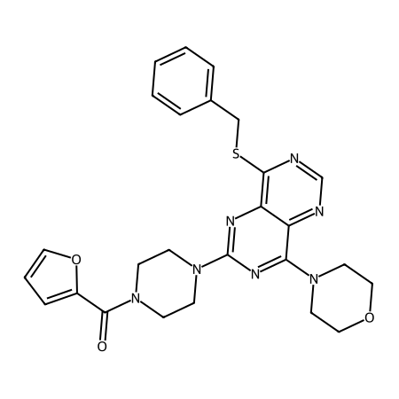 O=C(c1ccco1)N1CCN(c2nc(N3CCOCC3)c3ncnc(SCc4ccccc4)c3n2)CC1